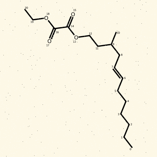 CCCCCCC=CCC(C)CCOC(=O)C(=O)OCC